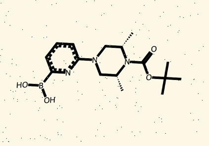 C[C@@H]1CN(c2cccc(B(O)O)n2)C[C@H](C)N1C(=O)OC(C)(C)C